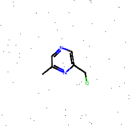 Cc1cncc(CCl)n1